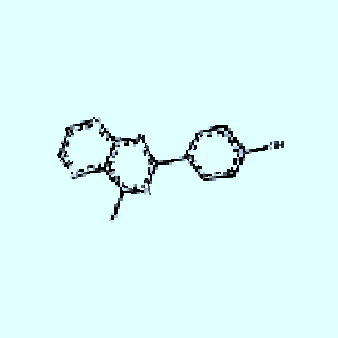 Cc1nc(-c2ccc(O)cc2)nc2nccnc12